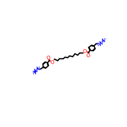 [N-]=[N+]=NCc1ccc(C(=O)OCCCCCCCCCCCCOC(=O)c2ccc(CN=[N+]=[N-])cc2)cc1